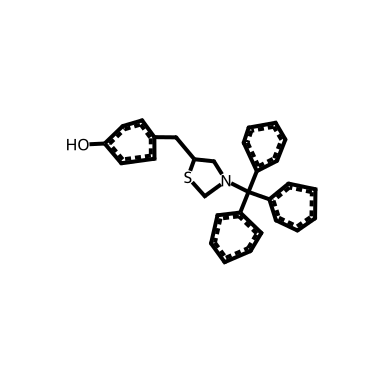 Oc1ccc(CC2CN(C(c3ccccc3)(c3ccccc3)c3ccccc3)CS2)cc1